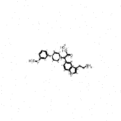 COc1cccc(N2CCN(C(C(=O)O)c3ccc4[nH]cc(CCN)c4c3)CC2)c1.Cl